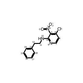 O=[N+]([O-])c1c(Cl)ccnc1NCCc1ccccc1